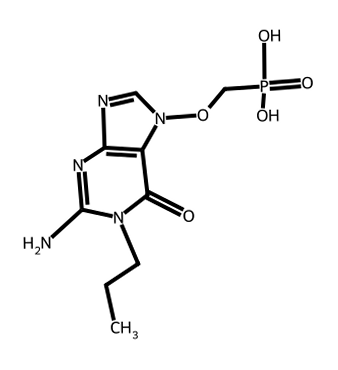 CCCn1c(N)nc2ncn(OCP(=O)(O)O)c2c1=O